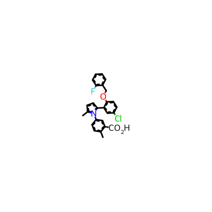 Cc1ccc(-n2c(C)ccc2-c2cc(Cl)ccc2OCc2ccccc2F)cc1C(=O)O